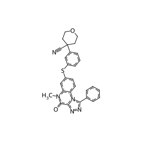 Cn1c(=O)c2nnc(-c3ccccc3)n2c2ccc(Sc3cccc(C4(C#N)CCOCC4)c3)cc21